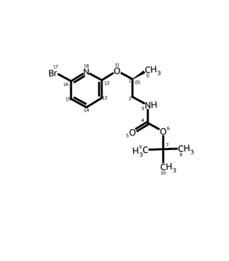 C[C@@H](CNC(=O)OC(C)(C)C)Oc1cccc(Br)n1